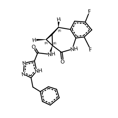 O=C(N[C@]12C(=O)Nc3c(F)cc(F)cc3[C@@H]3C1[C@@H]32)c1nnc(Cc2ccccc2)[nH]1